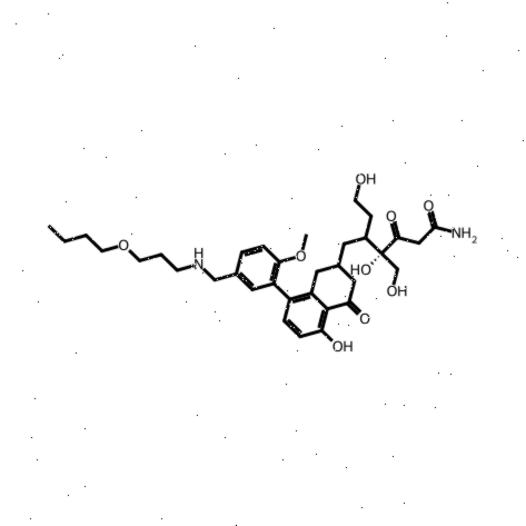 CCCCOCCCNCc1ccc(OC)c(-c2ccc(O)c3c2CC(CC(CCO)[C@](O)(CO)C(=O)CC(N)=O)CC3=O)c1